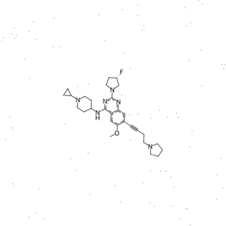 COc1cc2c(NC3CCN(C4CC4)CC3)nc(N3CC[C@H](F)C3)nc2cc1C#CCCN1CCCC1